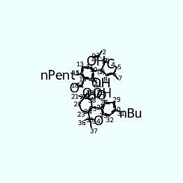 C=C(C)[C@@H]1CCC(C)=C[C@H]1c1c(O)cc(CCCCC)c(C(=O)OC2(C)CCC3=C(c4c(O)cc(CCCC)cc4OC3(C)C)C2O)c1O